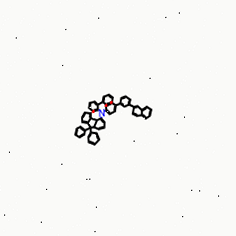 C1=CC2C(C(N(c3ccc(-c4cccc(-c5ccc6ccccc6c5)c4)cc3)c3ccccc3-c3ccccc3)=C1)c1ccccc1C2(c1ccccc1)c1ccccc1